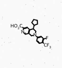 O=C(O)c1cc2c(cn1)CN(c1ccc(C(F)(F)F)c(F)c1)CC2C1CCCC1